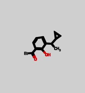 CCC(=O)c1cccc(C(C)C2CC2)c1O